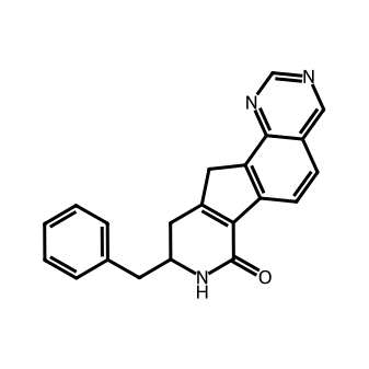 O=C1NC(Cc2ccccc2)CC2=C1c1ccc3cncnc3c1C2